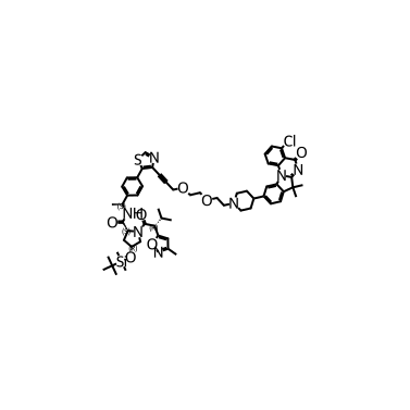 Cc1cc([C@H](C(=O)N2C[C@H](O[Si](C)(C)C(C)(C)C)C[C@H]2C(=O)N[C@@H](C)c2ccc(-c3scnc3C#CCOCCOCCN3CCC(c4ccc5c(c4)-n4c(nc(=O)c6c(Cl)cccc64)C5(C)C)CC3)cc2)C(C)C)on1